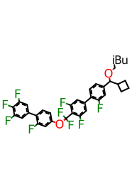 CCC(C)COC(c1ccc(-c2cc(F)c(C(F)(F)Oc3ccc(-c4cc(F)c(F)c(F)c4)c(F)c3)c(F)c2)c(F)c1)C1CCC1